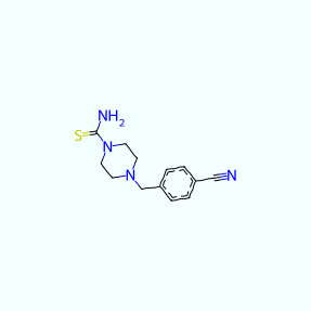 N#Cc1ccc(CN2CCN(C(N)=S)CC2)cc1